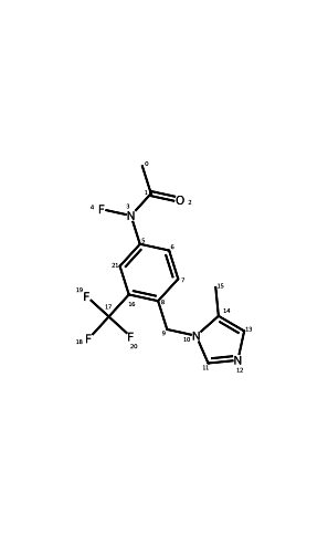 CC(=O)N(F)c1ccc(Cn2cncc2C)c(C(F)(F)F)c1